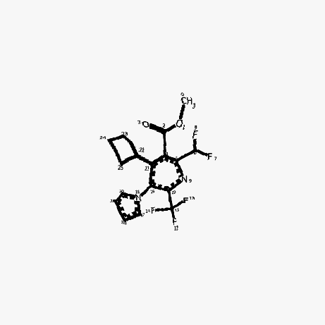 COC(=O)c1c(C(F)F)nc(C(F)(F)F)c(-n2cccc2)c1C1CCC1